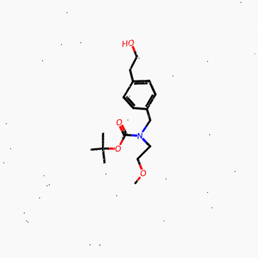 COCCN(Cc1ccc(CCO)cc1)C(=O)OC(C)(C)C